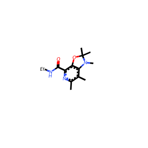 CCNC(=O)c1nc(C)c(C)c2c1OC(C)(C)N2C